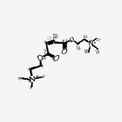 C[N+](C)(C)CCOC(=O)/C=C\C(=O)OCC[N+](C)(C)C